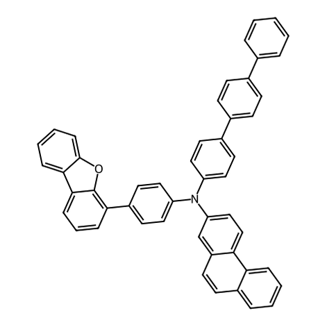 c1ccc(-c2ccc(-c3ccc(N(c4ccc(-c5cccc6c5oc5ccccc56)cc4)c4ccc5c(ccc6ccccc65)c4)cc3)cc2)cc1